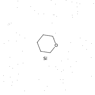 C1CCOCC1.[Si]